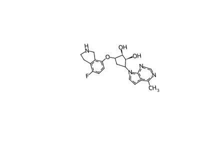 Cc1ncnc2c1ccn2C1CC(Oc2ccc(F)c3c2CNCC3)[C@@H](O)[C@H]1O